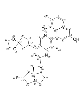 CCc1c(F)ccc2cc(O)cc(-c3ncc4c(N5CCC6(C5)OCCO6)nc(OC[C@@]56CCCN5C[C@H](F)C6)nc4c3F)c12